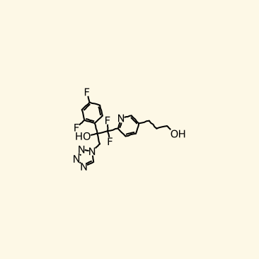 OCCCc1ccc(C(F)(F)C(O)(Cn2cnnn2)c2ccc(F)cc2F)nc1